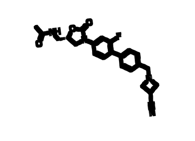 CC(=O)NC[C@H]1CN(c2ccc(-c3ccc(CN4CC(C#N)C4)cc3)c(F)c2)C(=O)O1